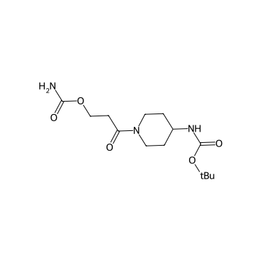 CC(C)(C)OC(=O)NC1CCN(C(=O)CCOC(N)=O)CC1